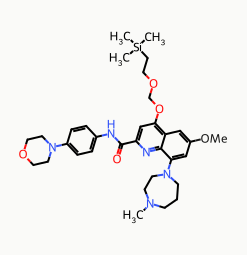 COc1cc(N2CCCN(C)CC2)c2nc(C(=O)Nc3ccc(N4CCOCC4)cc3)cc(OCOCC[Si](C)(C)C)c2c1